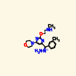 CNCCOc1nc(/C(=N\N)c2cccc(C)c2)cc(N2CCOCC2)n1